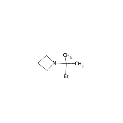 CCC(C)(C)N1CCC1